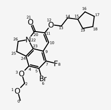 COCOc1c(Br)c(F)c2cc(OCCC3CCCC3)c(=O)n3c2c1CC3